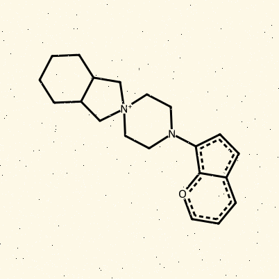 c1coc2c(N3CC[N+]4(CC3)CC3CCCCC3C4)ccc-2c1